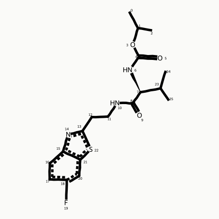 CC(C)OC(=O)N[C@H](C(=O)NCCc1nc2ccc(F)cc2s1)C(C)C